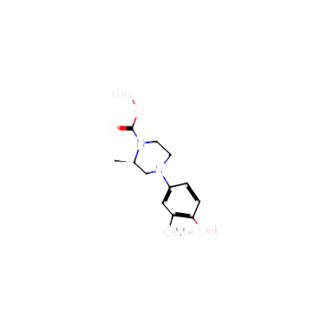 COc1cc(N2CCN(C(=O)OC(C)(C)C)[C@H](C)C2)ccc1O